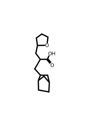 O=C(O)C(CC1CCCO1)CC1CC2CCC1C2